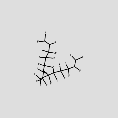 FC(F)C(F)C(F)(F)C(F)(F)C(F)(OC(F)(C(F)(F)C(F)F)C(F)(F)C(F)(F)C(F)C(F)F)C(F)(F)C(F)F